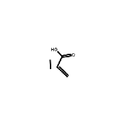 C=CC(=O)O.CC